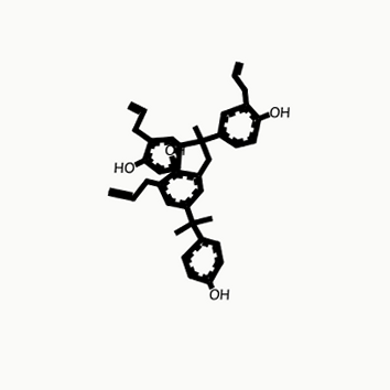 C=CCc1cc(C(C)(Cc2cc(C(C)(C)c3ccc(O)cc3)cc(CC=C)c2O)c2ccc(O)c(CC=C)c2)ccc1O